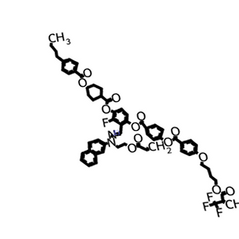 C=CC(=O)OCCN(/N=C/c1c(OC(=O)c2ccc(OC(=O)c3ccc(OCCCCOC(=O)C(=C)C(F)(F)F)cc3)cc2)ccc(OC(=O)C2CCC(OC(=O)c3ccc(CCCC)cc3)CC2)c1F)c1ccc2ccccc2c1